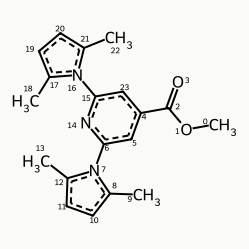 COC(=O)c1cc(-n2c(C)ccc2C)nc(-n2c(C)ccc2C)c1